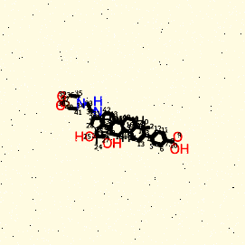 CC1(C)C(c2ccc(C(=O)O)cc2)=CC[C@]2(C)[C@H]3CC[C@@H]4[C@H]5[C@H]([C@@](C)(O)CO)CC[C@]5(NCCN5CCS(=O)(=O)CC5)CC[C@@]4(C)[C@]3(C)CC[C@@H]12